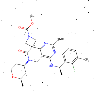 CSc1nc(N[C@H](C)c2cccc(C(F)(F)F)c2F)c2c(n1)C1(CN(C(=O)OC(C)(C)C)C1)C(=O)N([C@@H]1CCO[C@H](C)C1)C2